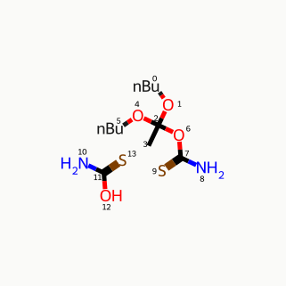 CCCCOC(C)(OCCCC)OC(N)=S.NC(O)=S